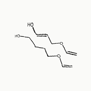 C=COCC=CO.C=COCCCCO